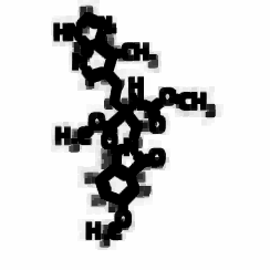 COC(=O)N[C@](CCc1cnc2[nH]cnc2c1C)(CN1Cc2ccc(OC)cc2C1=O)C(=O)OC